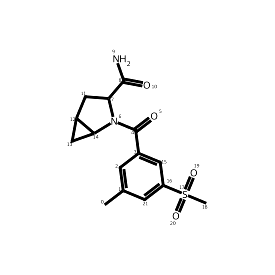 Cc1cc(C(=O)N2C(C(N)=O)CC3CC32)cc(S(C)(=O)=O)c1